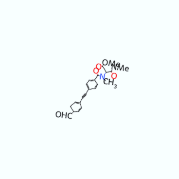 CNC(=O)C(C(=O)OC)N(C)C(=O)c1ccc(C#CC2=CCC(C=O)C=C2)cc1